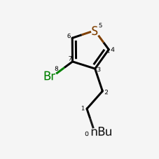 CCCCCCc1[c]scc1Br